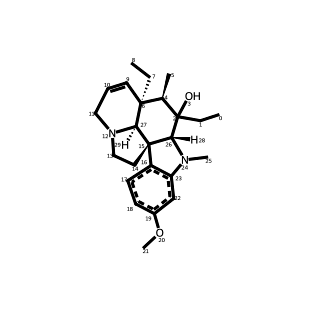 CCC1(O)[C@H](C)[C@]2(CC)C=CCN3CC[C@@]4(c5ccc(OC)cc5N(C)[C@@H]14)[C@@H]32